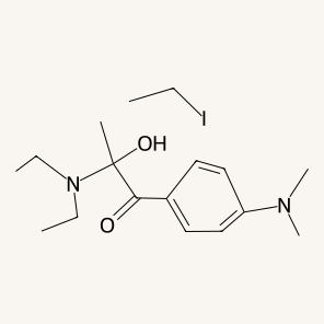 CCI.CCN(CC)C(C)(O)C(=O)c1ccc(N(C)C)cc1